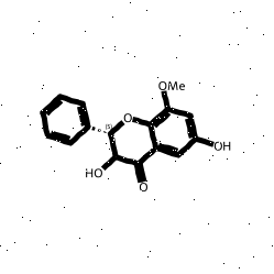 COc1cc(O)cc2c1O[C@@H](c1ccccc1)C(O)C2=O